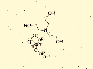 CCC[O-].CCC[O-].CCC[O-].CCC[O-].OCCN(CCO)CCO.[Ti+4]